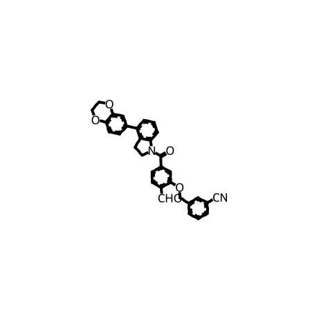 N#Cc1cccc(COc2cc(C(=O)N3CCc4c(-c5ccc6c(c5)OCCO6)cccc43)ccc2C=O)c1